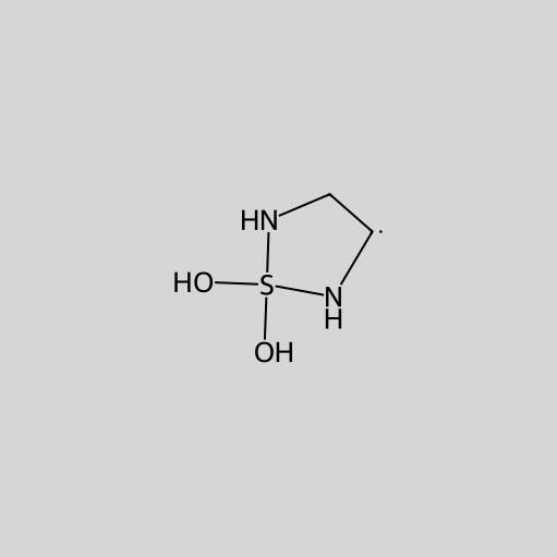 OS1(O)N[CH]CN1